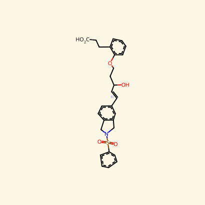 O=C(O)CCc1ccccc1OCCC(O)/C=C/c1ccc2c(c1)CN(S(=O)(=O)c1ccccc1)C2